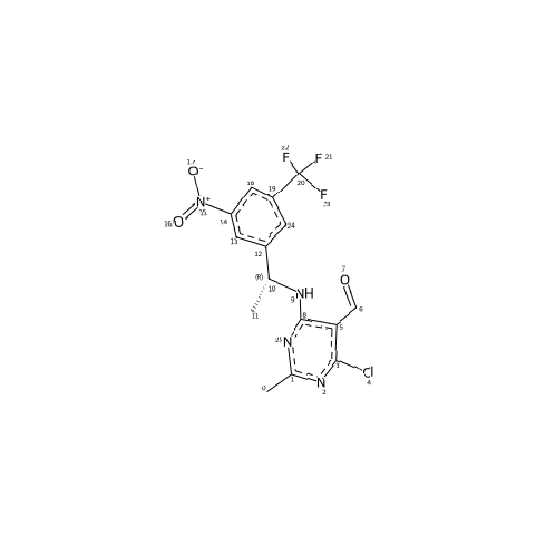 Cc1nc(Cl)c(C=O)c(N[C@H](C)c2cc([N+](=O)[O-])cc(C(F)(F)F)c2)n1